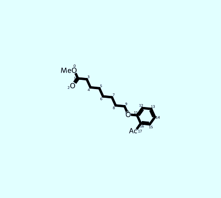 COC(=O)CCCCCCCOc1ccccc1C(C)=O